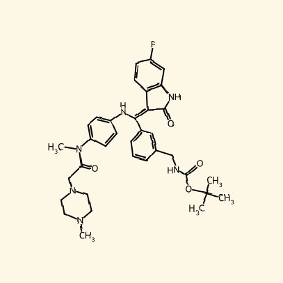 CN1CCN(CC(=O)N(C)c2ccc(NC(=C3C(=O)Nc4cc(F)ccc43)c3cccc(CNC(=O)OC(C)(C)C)c3)cc2)CC1